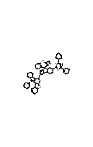 c1ccc(-c2nc(-c3ccccc3)nc(-c3ccc4c(c3)C3(c5ccccc5Oc5ccccc53)c3ccc(-c5cc6oc7ccccc7c6c6c5c5ccccc5n6-c5ccccc5)cc3-4)n2)cc1